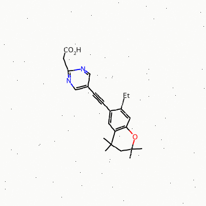 CCc1cc2c(cc1C#Cc1cnc(CC(=O)O)nc1)C(C)(C)CC(C)(C)O2